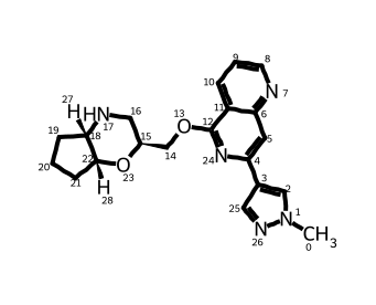 Cn1cc(-c2cc3ncccc3c(OC[C@@H]3CN[C@H]4CCC[C@H]4O3)n2)cn1